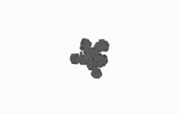 Cc1cccc(C)c1-c1cc(-c2cc(-c3ccccc3)ccc2Nc2ccc(-c3ccccc3)cc2)c2c(c1)N(c1ccc3c(c1)C(C)(C)CCC3(C)C)c1cc3c(cc1B2)C(C)(C)CCC3(C)C